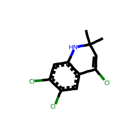 CC1(C)C=C(Cl)c2cc(Cl)c(Cl)cc2N1